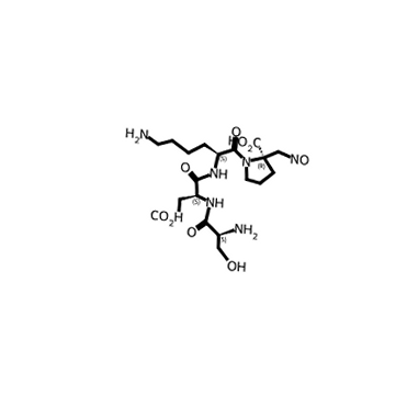 NCCCC[C@H](NC(=O)[C@H](CC(=O)O)NC(=O)[C@@H](N)CO)C(=O)N1CCC[C@@]1(CN=O)C(=O)O